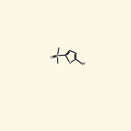 CC(C)c1ccc(P(C)(C)=O)s1